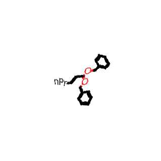 CCCC=CC(OCc1ccccc1)OCc1ccccc1